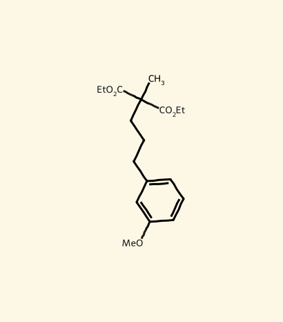 CCOC(=O)C(C)(CCCc1cccc(OC)c1)C(=O)OCC